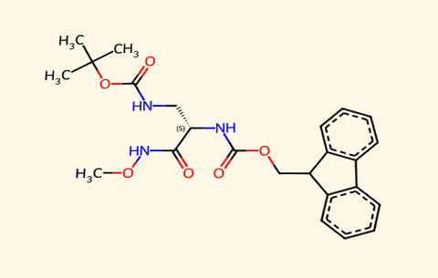 CONC(=O)[C@H](CNC(=O)OC(C)(C)C)NC(=O)OCC1c2ccccc2-c2ccccc21